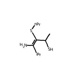 CCCS/C(=C(\N)C(C)C)C(C)S